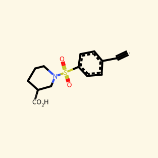 [C]#Cc1ccc(S(=O)(=O)N2CCCC(C(=O)O)C2)cc1